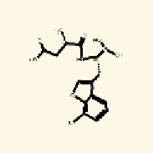 CCCC(O)C[C@@H](C)C(=O)N[C@@H](Cc1coc2c(Cl)cccc12)B(O)O